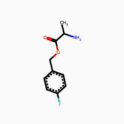 CC(N)C(=O)OCc1ccc(F)cc1